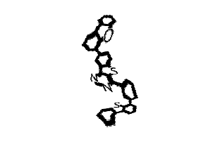 c1cc(-c2cccc3c2sc2ccccc23)cc(-c2ncnc3c2sc2ccc(-c4cccc5c4oc4ccccc45)cc23)c1